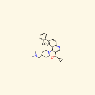 CN(C)CC1CCN(c2c(C(=O)C3CC3)cnc3ccc(-c4ccccc4C(=O)O)cc23)CC1